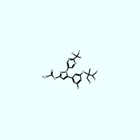 CC(CF)(Oc1cc(F)cc(-c2cc(OC(N)=O)nn2-c2cnc(C(F)(F)F)nc2)c1)C(F)F